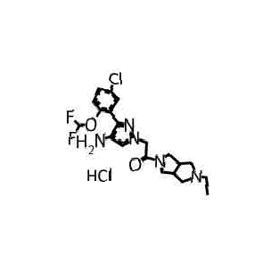 CCN1CC2CN(C(=O)Cn3cc(N)c(-c4cc(Cl)ccc4OC(F)F)n3)CC2C1.Cl